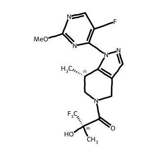 COc1ncc(F)c(-n2ncc3c2[C@@H](C)CN(C(=O)[C@@](C)(O)C(F)(F)F)C3)n1